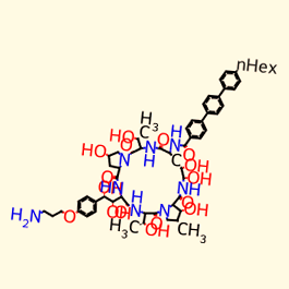 CCCCCCc1ccc(-c2ccc(-c3ccc(C(=O)NC4C[C@@H](O)[C@@H](O)NC(=O)C5[C@@H](O)[C@@H](C)CN5C(=O)C([C@@H](C)O)NC(=O)C([C@H](O)[C@@H](O)c5ccc(OCCCN)cc5)NC(=O)C5C[C@@H](O)CN5C(=O)C([C@@H](C)O)NC4=O)cc3)cc2)cc1